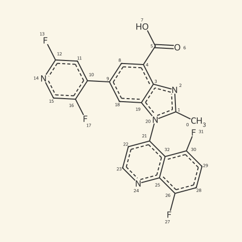 Cc1nc2c(C(=O)O)cc(-c3cc(F)ncc3F)cc2n1-c1ccnc2c(F)ccc(F)c12